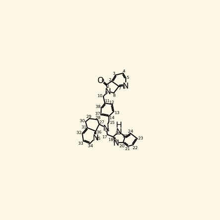 O=C1c2cccnc2CN1Cc1ccc(CN(Cc2nc3ccccc3[nH]2)C2CCCc3cccnc32)cc1